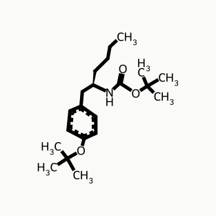 CCCC[C@H](Cc1ccc(OC(C)(C)C)cc1)NC(=O)OC(C)(C)C